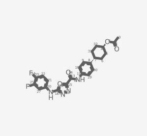 CC(=O)O[C@H]1CC[C@H](c2ccc(NC(=O)c3nnc(Nc4ccc(F)c(F)c4)o3)cc2)CC1